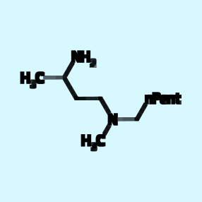 CCCCCCN(C)CCC(C)N